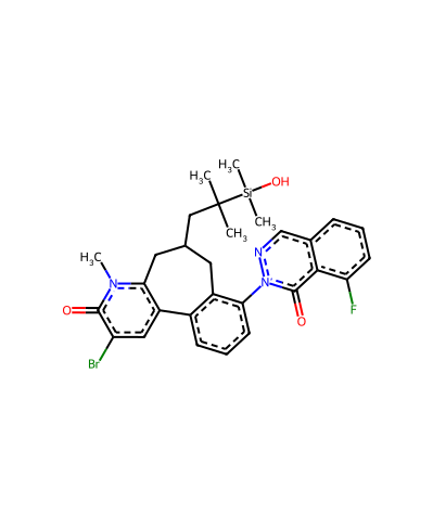 Cn1c2c(cc(Br)c1=O)-c1cccc(-n3ncc4cccc(F)c4c3=O)c1CC(CC(C)(C)[Si](C)(C)O)C2